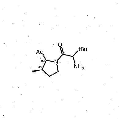 CC(=O)[C@@H]1[C@H](C)CCN1C(=O)C(N)C(C)(C)C